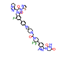 Cn1nc(N2CCC(=O)NC2=O)c2ccc([C@@H]3CCN(C(=O)CN4CCC5(CC4)CN(c4ccc(-c6cc(F)c7c(c6)C(=O)N(C(C(=O)Nc6nccs6)c6ncn8c6CCC8)C7)cc4)C5)CC3(F)F)cc21